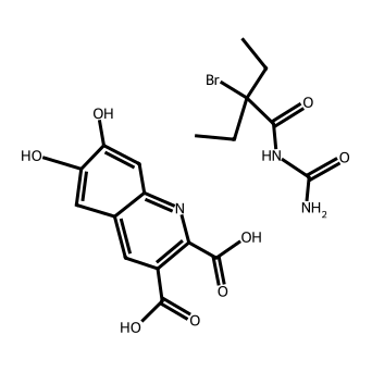 CCC(Br)(CC)C(=O)NC(N)=O.O=C(O)c1cc2cc(O)c(O)cc2nc1C(=O)O